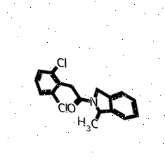 CC1c2ccccc2CN1C(=O)Cc1c(Cl)cccc1Cl